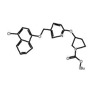 CC(C)(C)OC(=O)N1CCC(Oc2ccc(COc3ccc(Cl)c4ccccc34)cn2)C1